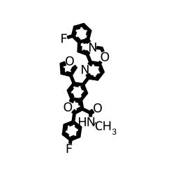 CNC(=O)c1c(-c2ccc(F)cc2)oc2cc(-c3ccoc3)c(-c3ccc4c(n3)-c3cc5c(F)cccc5n3CO4)cc12